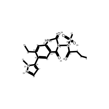 CCCC(=O)N(n1c(=O)[nH]c2cc(CC)c(-c3ccnn3C)cc2c1=O)S(C)(=O)=O